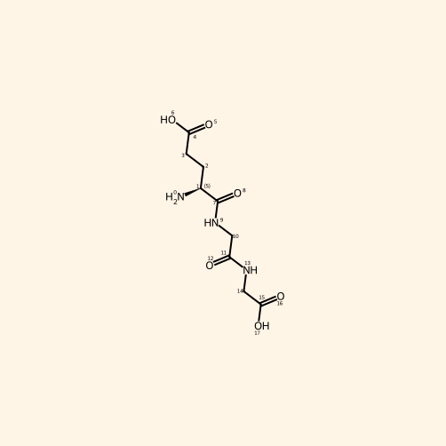 N[C@@H](CCC(=O)O)C(=O)NCC(=O)NCC(=O)O